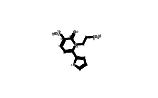 O=C(O)CCn1c(-c2cccs2)ccc(C(=O)O)c1=O